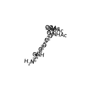 CC(=O)NC1C(OCCOCCOCCOCCNC(=O)CCCN)OC(COC(C)=O)C(OC(C)=O)C1OC(C)=O